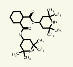 CC1(C)CC(OC(=O)C2CCCCC2C(=O)OC2CC(C)(C)NC(C)(C)C2)CC(C)(C)N1